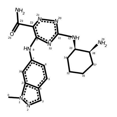 Cn1ncc2ccc(Nc3nc(N[C@@H]4CCCC[C@@H]4N)nnc3C(N)=O)cc21